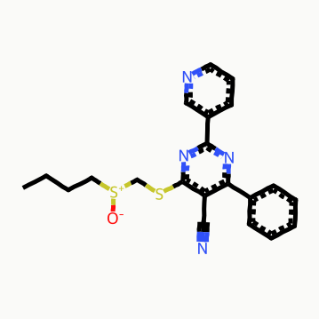 CCCC[S+]([O-])CSc1nc(-c2cccnc2)nc(-c2ccccc2)c1C#N